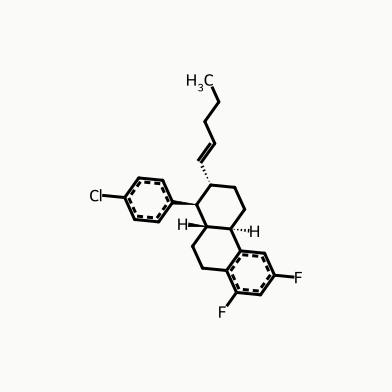 CCC/C=C/[C@@H]1CC[C@H]2c3cc(F)cc(F)c3CC[C@@H]2[C@H]1c1ccc(Cl)cc1